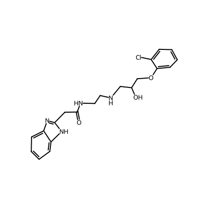 O=C(Cc1nc2ccccc2[nH]1)NCCNCC(O)COc1ccccc1Cl